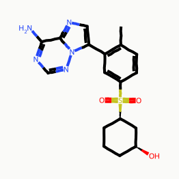 Cc1ccc(S(=O)(=O)[C@@H]2CCC[C@H](O)C2)cc1-c1cnc2c(N)ncnn12